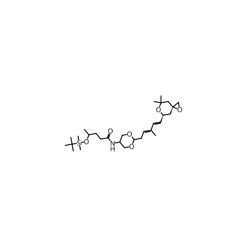 CC(/C=C/[C@@H]1C[C@]2(CO2)CC(C)(C)O1)=C\CC1OCC(NC(=O)CCC(C)O[Si](C)(C)C(C)(C)C)CO1